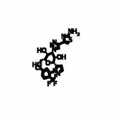 Nc1nc(-c2cn([C@H]3[C@@H](O)[C@@H](CO)O[C@@H](c4ccnn4-c4cc(Cl)ccc4C(F)(F)F)[C@@H]3O)nn2)cs1